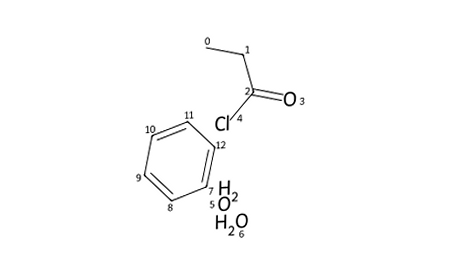 CCC(=O)Cl.O.O.c1ccccc1